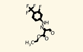 CCOC(=O)/C(C=O)=N/Nc1ccc(C(F)(F)F)c(F)c1